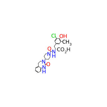 Cc1cc(C[C@@H](NC(=O)N2CCC(N3CCc4ccccc4NC3=O)CC2)C(=O)O)cc(Cl)c1O